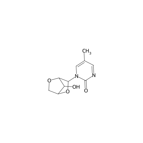 Cc1cnc(=O)n(C2OC3COC2C3O)c1